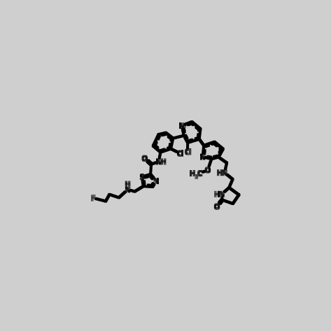 COc1nc(-c2ccnc(-c3cccc(NC(=O)c4ncc(CNCCCF)s4)c3Cl)c2Cl)ccc1CNCC1CCC(=O)N1